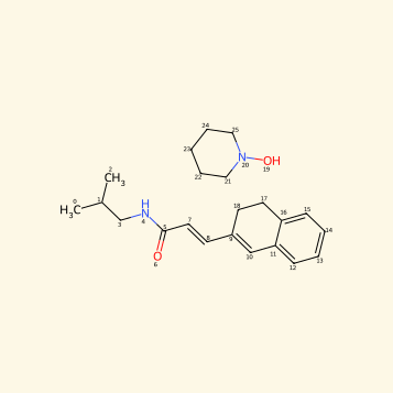 CC(C)CNC(=O)/C=C/C1=Cc2ccccc2CC1.ON1CCCCC1